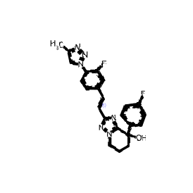 Cc1cn(-c2ccc(/C=C/c3nc4n(n3)CCCC4(O)c3ccc(F)cc3)cc2F)nn1